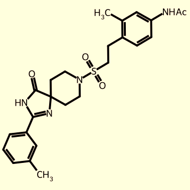 CC(=O)Nc1ccc(CCS(=O)(=O)N2CCC3(CC2)N=C(c2cccc(C)c2)NC3=O)c(C)c1